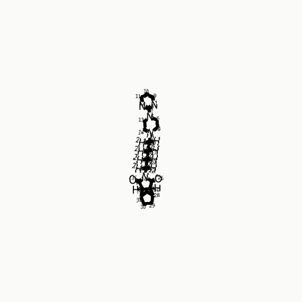 [2H]C([2H])(N1CCN(c2ncccn2)CC1)C([2H])([2H])C([2H])([2H])C([2H])([2H])N1C(=O)[C@@H]2C3CCC(C3)[C@@H]2C1=O